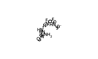 C[S@@+]([O-])CCNC(=O)c1cc(N2CCN(CCNc3nc(N)n4nc(-c5ccco5)cc4n3)CC2)c(F)cc1F